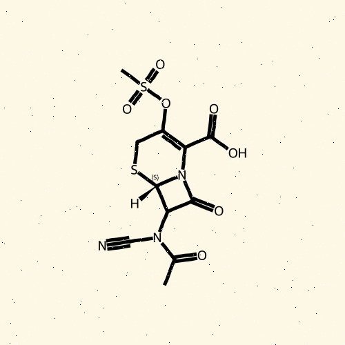 CC(=O)N(C#N)C1C(=O)N2C(C(=O)O)=C(OS(C)(=O)=O)CS[C@@H]12